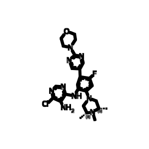 C[C@@H]1CN(c2cc(F)c(-c3cnc(N4CCOCC4)nc3)cc2Nc2ncnc(Cl)c2N)C[C@H](C)N1C